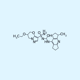 CCOC1COc2c(S(N)(=O)=NC(O)Nc3c4c(nc5c3CCC5C)CCC4)cnn2C1